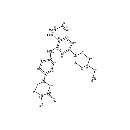 CCN1CCN(c2ccc(Nc3nc(N4CCC(CC#N)CC4)nc(/C=N\NC)c3C=O)cc2)CC1=O